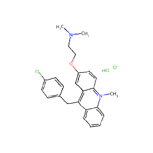 CN(C)CCOc1ccc2c(c1)c(Cc1ccc(Cl)cc1)c1ccccc1[n+]2C.Cl.[Cl-]